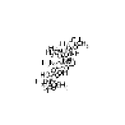 CN(C(=O)C(F)(F)F)[C@@H]1C(O)[C@@H](OC2C(O)C(OC3=CCC[C@@H](CNC(=O)OC(C)(C)C)O3)[C@@H](NC(=O)OC(C)(C)C)C[C@H]2N)OCC1(C)O